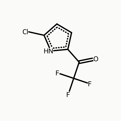 O=C(c1ccc(Cl)[nH]1)C(F)(F)F